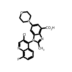 Cc1nc2c(C(=O)O)cc(N3CCOCC3)cc2n1-c1c(Cl)cnc2c(F)cccc12